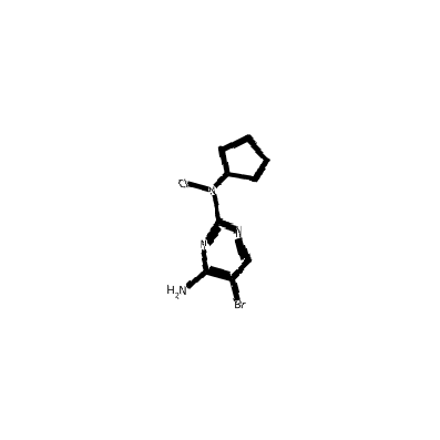 Nc1nc(N(Cl)C2CCCC2)ncc1Br